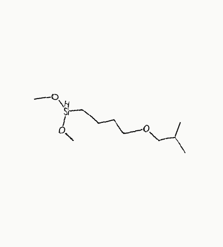 CO[SiH](CCCCOCC(C)C)OC